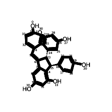 Oc1ccc(/C=C2/c3cc(O)cc(O)c3[C@H](c3ccc(O)cc3)[C@H]2c2cc(O)cc(O)c2)cc1